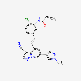 C=CC(=O)Nc1cc(/C=C/c2cc(-c3cnn(C)c3)cn3ncc(C#N)c23)ccc1Cl